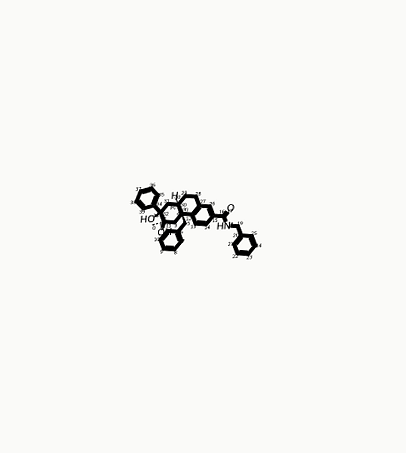 C[C@@]1(O)C[C@@]2(Cc3ccccc3)c3ccc(C(=O)NCc4ccccc4)cc3CC[C@@H]2C[C@@]1(O)c1ccccc1